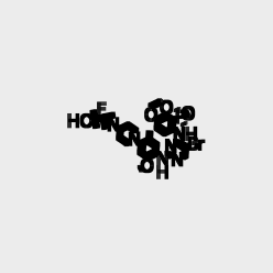 COc1cc(N2CCC(N3CC(F)(C(C)(C)O)C3)CC2)c(C)cc1Nc1ncc(Br)c(Nc2ccc3c(c2P(C)(C)=O)OCCO3)n1